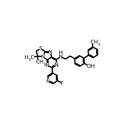 Cc1cccc(-c2cc(CCNc3nc(-c4cncc(F)c4)nc4c3nc3n4C(C)(C)CS3)ccc2O)c1